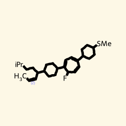 C/C=C\C(CCC(C)C)C1CCC(C2=CC=C(C3CCC(SC)CC3)C=CC2F)CC1